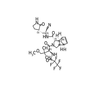 COCC(C)(C)[C@H](NC(=O)C(F)(F)C(F)(F)F)C(=O)N1C[C@H]2[C@@H]([C@H]1C(=O)N[C@H](C#N)C[C@@H]1CCNC1=O)[C@H]1C=C[C@@H]2C1